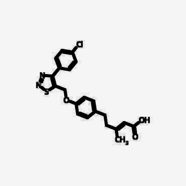 CC(=CC(=O)O)CCc1ccc(OCc2snnc2-c2ccc(Cl)cc2)cc1